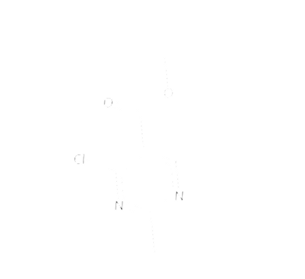 CCOC(=O)c1c(C)nc(C)nc1Cl